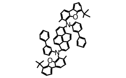 Cc1ccc2c(oc3c(C(C)(C)C)cccc32)c1N(c1cccc(-c2ccccc2)c1)c1ccc2ccc3c(N(c4cccc(-c5ccccc5)c4)c4c(C)ccc5c4oc4c(C(C)(C)C)cccc45)ccc4ccc1c2c43